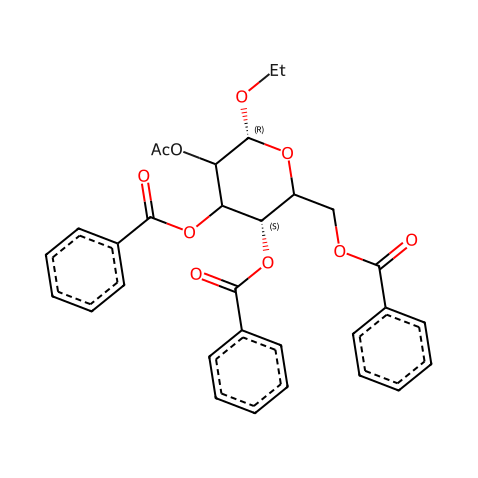 CCO[C@@H]1OC(COC(=O)c2ccccc2)[C@H](OC(=O)c2ccccc2)C(OC(=O)c2ccccc2)C1OC(C)=O